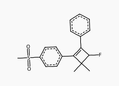 CC1(C)C(c2ccc(S(C)(=O)=O)cc2)=C(c2ccccc2)C1F